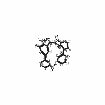 CN(C)c1cncc(-c2cc(F)c3[nH]nc(-c4nc5c(-c6ccccn6)ccnc5[nH]4)c3c2)c1